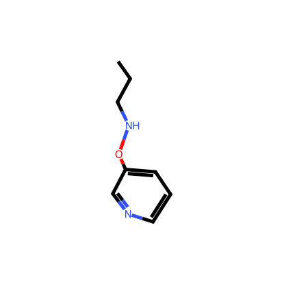 CCCNOc1cccnc1